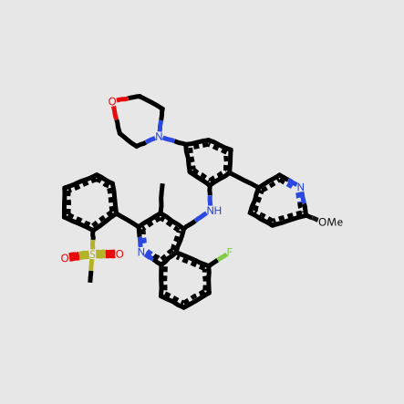 COc1ccc(-c2ccc(N3CCOCC3)cc2Nc2c(C)c(-c3ccccc3S(C)(=O)=O)nc3cccc(F)c23)cn1